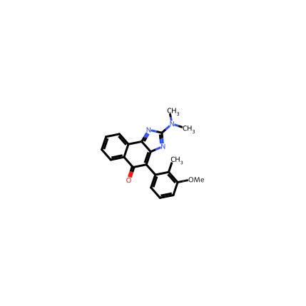 COc1cccc(C2=C3N=C(N(C)C)N=C3c3ccccc3C2=O)c1C